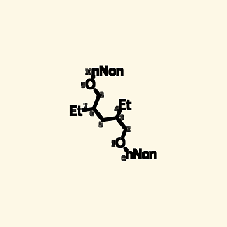 CCCCCCCCCOCC(CC)CC(CC)COCCCCCCCCC